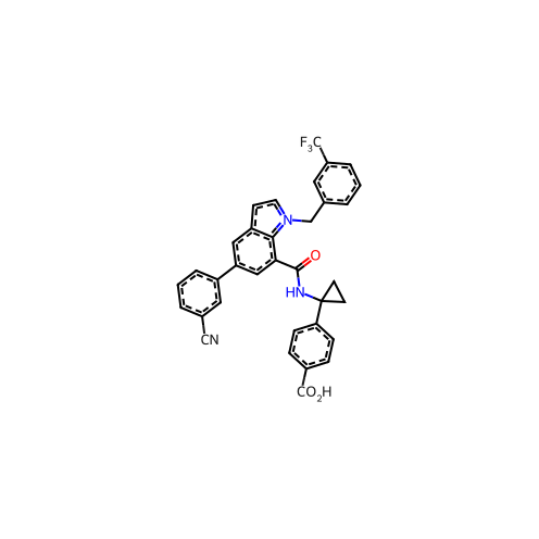 N#Cc1cccc(-c2cc(C(=O)NC3(c4ccc(C(=O)O)cc4)CC3)c3c(ccn3Cc3cccc(C(F)(F)F)c3)c2)c1